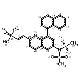 CS(=O)(=O)N(c1cc(-c2cccc3ccccc23)c2nc(/C=C/P(=O)(O)O)ccc2c1)S(C)(=O)=O